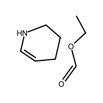 C1=CNCCC1.CCOC=O